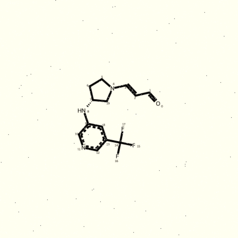 O=CC=CN1CC[C@@H](Nc2cncc(C(F)(F)F)c2)C1